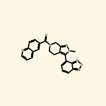 Cn1nc2c(c1-c1cccc3nonc13)CCN(C(=O)c1ccc3ncccc3c1)C2